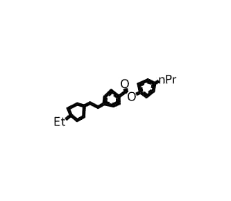 CCCc1ccc(OC(=O)c2ccc(CCC3CCC(CC)CC3)cc2)cc1